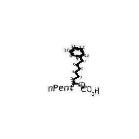 CCCCCC(CCCCCCc1ccccc1)OC(=O)O